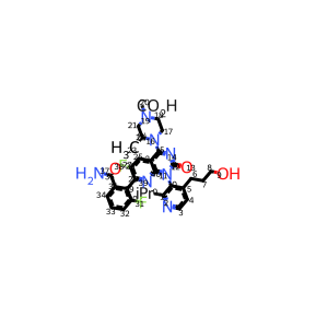 CC(C)c1nccc(CCCO)c1-n1c(=O)nc(N2CCN(C(=O)O)C[C@@H]2C)c2cc(F)c(-c3c(F)cccc3C(N)=O)nc21